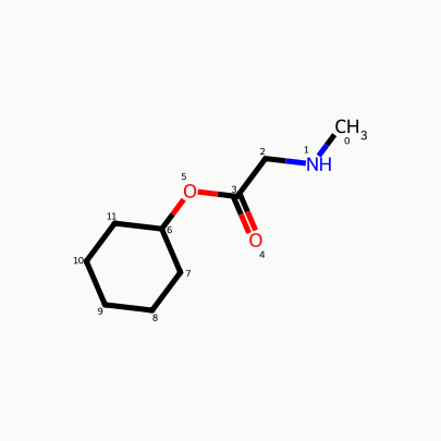 CNCC(=O)OC1CCCCC1